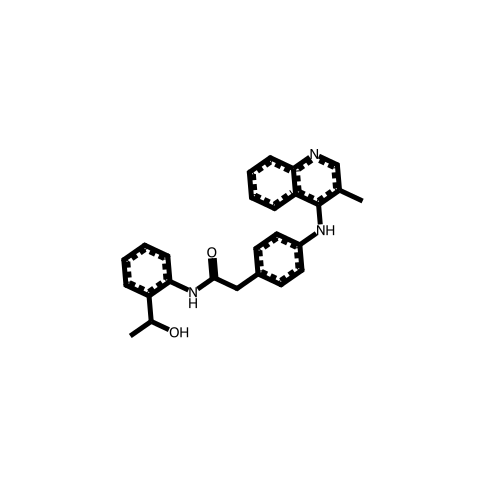 Cc1cnc2ccccc2c1Nc1ccc(CC(=O)Nc2ccccc2C(C)O)cc1